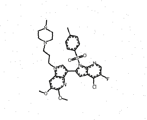 COc1cc2c(nc1OC)c(-c1cc3c(Cl)c(F)cnc3n1S(=O)(=O)c1ccc(C)cc1)cn2CCCN1CCN(C)CC1